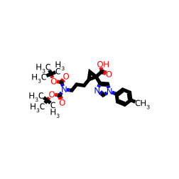 Cc1ccc(-n2cnc(C3(C(=O)O)CC3CCCN(C(=O)OC(C)(C)C)C(=O)OC(C)(C)C)c2)cc1